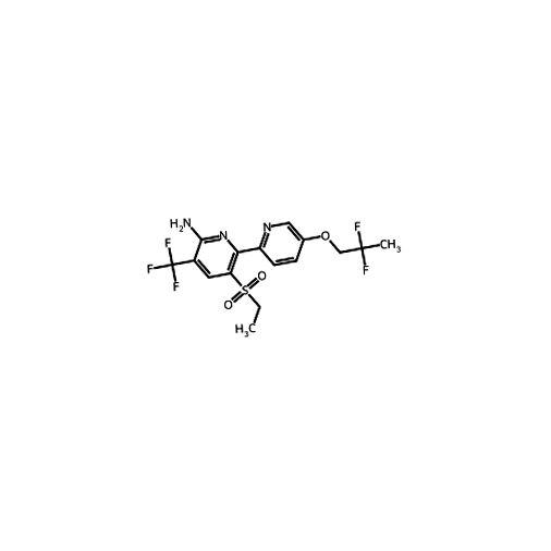 CCS(=O)(=O)c1cc(C(F)(F)F)c(N)nc1-c1ccc(OCC(C)(F)F)cn1